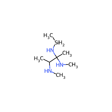 CNC(C)C(C)(NC)N[SiH2]C